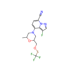 CC1CN(c2ccc(C#N)n3ncc(F)c23)CC(COSC(F)(F)F)O1